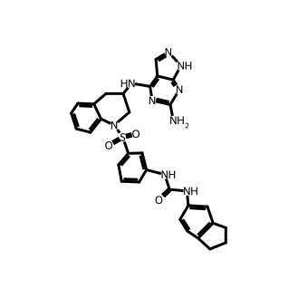 Nc1nc(NC2Cc3ccccc3N(S(=O)(=O)c3cccc(NC(=O)Nc4ccc5c(c4)CCC5)c3)C2)c2cn[nH]c2n1